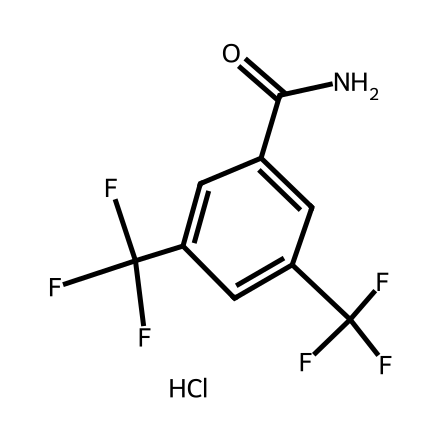 Cl.NC(=O)c1cc(C(F)(F)F)cc(C(F)(F)F)c1